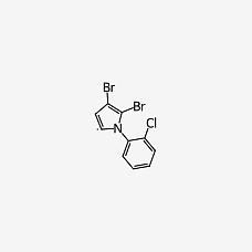 Clc1ccccc1-n1[c]cc(Br)c1Br